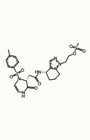 Cc1ccc(S(=O)(=O)N2C=CNC(=O)[C@H]2CC(=O)N[C@H]2CCCc3c2cnn3CCOS(C)(=O)=O)cc1